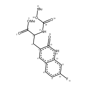 COC(=O)C(Cc1cc2ccc(F)cc2[nH]c1=O)NC(=O)OC(C)(C)C